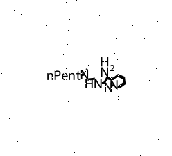 CCCCCN(C)CCNc1nn2ccccc2c1N